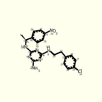 C[C@H](Nc1nc(N)nc(NCCc2ccc(Cl)cc2)n1)c1ccc([N+](=O)[O-])cc1